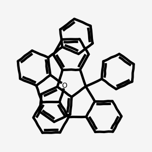 c1ccc(-c2cccc3c2oc2c(-c4ccccc4C4(c5ccccc5)c5ccccc5-c5ccccc54)cccc23)cc1